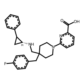 O=C(O)c1cccc(N2CCC(CN[C@@H]3CC3c3ccccc3)(Cc3ccc(F)cc3)CC2)n1